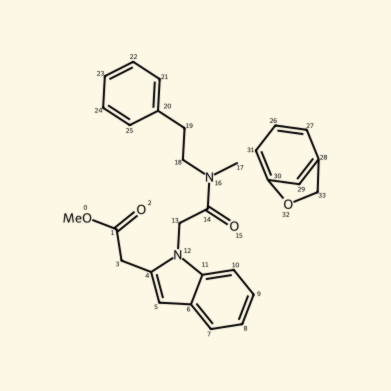 COC(=O)Cc1cc2ccccc2n1CC(=O)N(C)CCc1ccccc1.c1cc2cc(c1)OC2